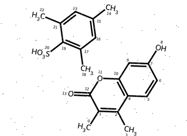 Cc1c(C)c2ccc(O)cc2oc1=O.Cc1cc(C)c(S(=O)(=O)O)c(C)c1